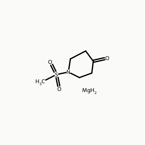 CS(=O)(=O)N1CCC(=O)CC1.[MgH2]